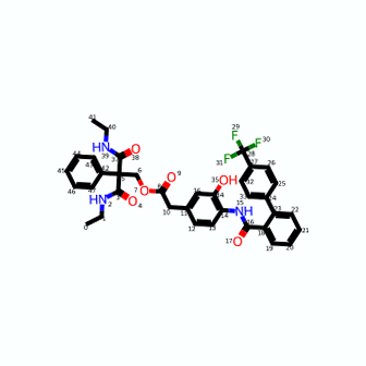 CCNC(=O)C(COC(=O)Cc1ccc(NC(=O)c2ccccc2-c2ccc(C(F)(F)F)cc2)c(O)c1)(C(=O)NCC)c1ccccc1